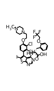 Cc1c(-c2c(I)sc3ncnc(N[C@H](Cc4ccccc4OCC(F)(F)F)C(=O)O)c23)ccc(OCCN2CCN(C)CC2)c1Cl